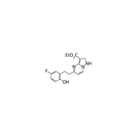 CCOC(=O)C1=C2N=C(CCc3cc(F)ccc3O)C=CN2NC1